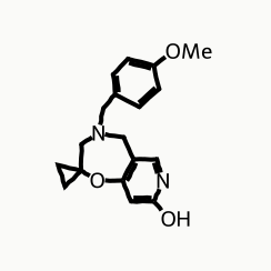 COc1ccc(CN2Cc3cnc(O)cc3OC3(CC3)C2)cc1